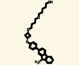 Cn1c2ccncc2c2ccc(-c3ccc(O[C@H]4C[C@H](OCCCCOCCCCCO)C4)nc3)cc21